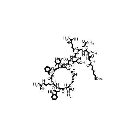 CCCCCCCCCCCCCCCC(=O)NCC(=O)N[C@@H](CO)C(=O)N[C@@H](CCC(N)=O)C(=O)N[C@@H](CCCCNC(=N)N)C(=O)N[C@@H](CO)C(=O)N[C@@H](CCCC)C(=O)N[C@H]1CCC(=O)NCCCC[C@@H](C(N)=O)NC(=O)[C@H](Cc2c[nH]c3ccccc23)NC(=O)[C@H](CCCNC(=N)N)NC(=O)[C@@H](Cc2ccccc2)NC(=O)[C@H](Cc2cccnc2)NC1=O